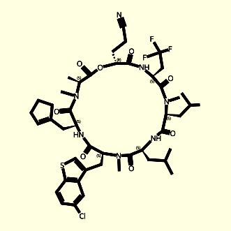 CC(C)C[C@@H]1NC(=O)[C@H](CC(C)C)N(C)C(=O)[C@H](CC(F)(F)F)NC(=O)[C@@H](CCC#N)OC(=O)[C@H](C)N(C)C(=O)[C@H](CC2=CCCC2)NC(=O)[C@H](Cc2csc3ccc(Cl)cc23)N(C)C1=O